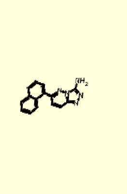 Nc1nnc2ccc(-c3cccc4ccccc34)nn12